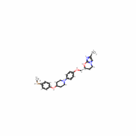 O=[N+]([O-])c1cn2c(n1)O[C@@H](COc1ccc(N3CCC(Oc4ccc(SC(F)(F)F)cc4)CC3)cc1)CC2